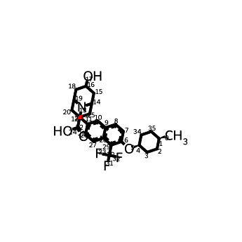 C[C@H]1CC[C@@H](Oc2ccc3cc(CN4C5CC(O)CC4CC(C(=O)O)C5)ccc3c2C(F)(F)F)CC1